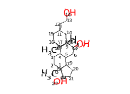 C[C@]12CCC3C(C[C@H](O)[C@H]4CC(=CCO)CC[C@]34C)C1CC[C@@H]2O